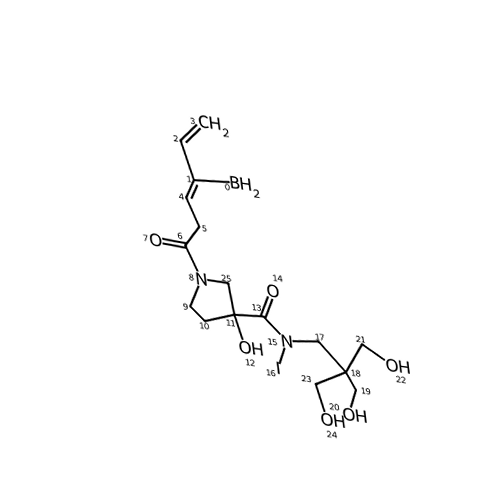 B/C(C=C)=C\CC(=O)N1CCC(O)(C(=O)N(I)CC(CO)(CO)CO)C1